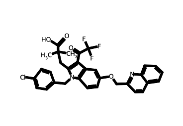 CC(C)(Cc1c(C(=O)C(F)(F)F)c2cc(OCc3ccc4ccccc4n3)ccc2n1Cc1ccc(Cl)cc1)C(=O)O